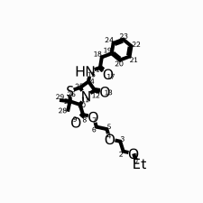 CCOCCOCCOC(=O)C1N2C(=O)C(NC(=O)Cc3ccccc3)C2SC1(C)C